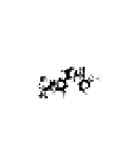 CC(C)c1c(C(=O)N(C)C)nc2c(F)cc(-c3nc(N[C@@H]4CCOC[C@H]4O)ncc3F)cn12